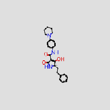 O=C(Nc1ccc(N2CCCCC2)cc1)C1=C(O)[C@@H](CCc2ccccc2)NC1=O